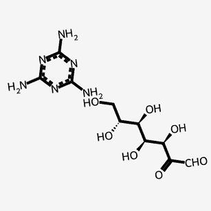 Nc1nc(N)nc(N)n1.O=CC(=O)[C@H](O)[C@@H](O)[C@H](O)[C@H](O)CO